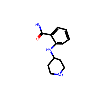 [NH]C(=O)c1ccccc1NC1CCNCC1